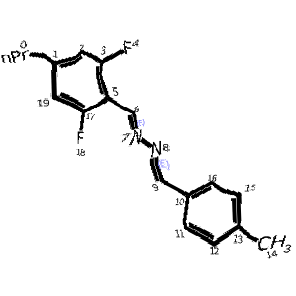 CCCc1cc(F)c(/C=N/N=C/c2ccc(C)cc2)c(F)c1